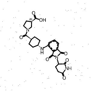 O=C1CCC(N2C(=O)c3cccc(N[C@H]4CC[C@H](C(=O)N5CC[C@@H](C(=O)O)C5)CC4)c3C2=O)C(=O)N1